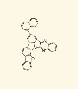 c1ccc2c(-c3cc4c5ccc6c7ccccc7oc6c5n5c6nc7ccccc7nc6c(c3)c45)cccc2c1